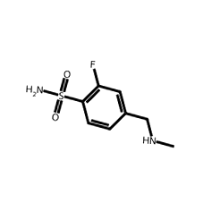 CNCc1ccc(S(N)(=O)=O)c(F)c1